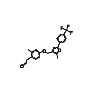 Cc1cc(OCc2cc(-c3ccc(C(F)(F)F)cc3)oc2C)ccc1CC=O